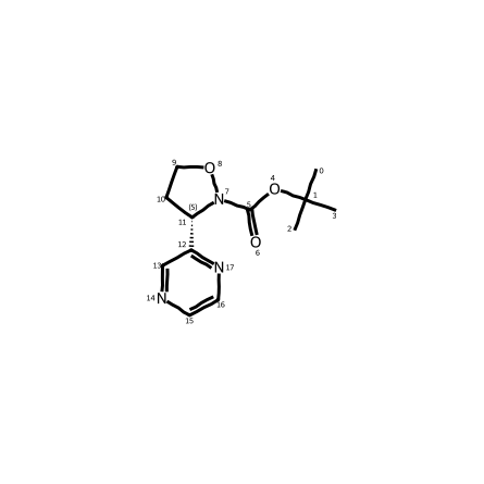 CC(C)(C)OC(=O)N1OCC[C@H]1c1cnccn1